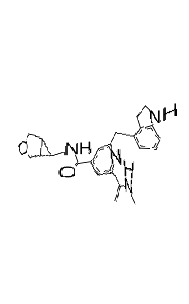 C=C(NC)c1cc(C(=O)NC2C3COCC32)cc(Cc2cccc3c2CCN3)n1